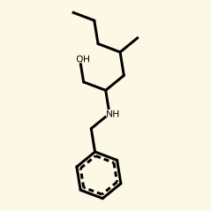 CCCC(C)CC(CO)NCc1ccccc1